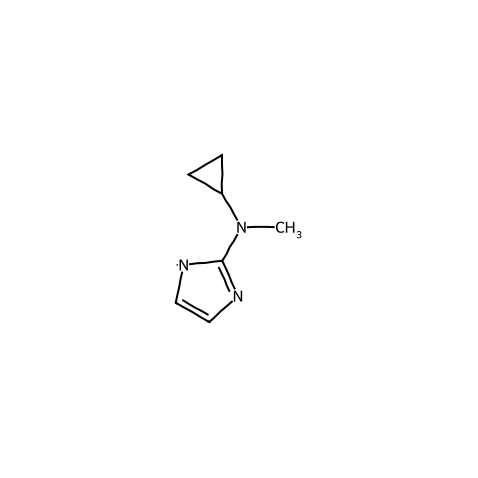 CN(C1=NC=C[N]1)C1CC1